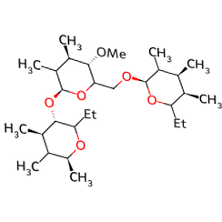 CCC1O[C@@H](C)C(C)[C@@H](C)[C@@H]1O[C@@H]1OC(CO[C@@H]2OC(CC)[C@H](C)[C@H](C)C2C)[C@@H](OC)[C@H](C)C1C